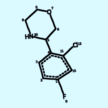 Fc1ccc(C2COCCN2)c(Cl)c1